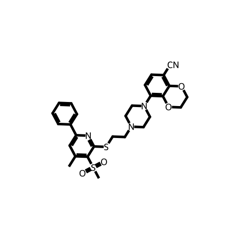 Cc1cc(-c2ccccc2)nc(SCCN2CCN(c3ccc(C#N)c4c3OCCO4)CC2)c1S(C)(=O)=O